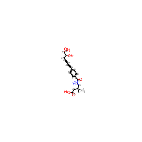 CC(CNC(=O)c1ccc(C#CC#CCC(O)CO)cc1)CC(=O)O